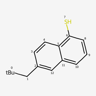 CC(C)(C)Cc1ccc2c(S)cccc2c1